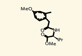 COC(=O)[C@@H](NC(=O)Cc1ccc(OC)cc1C)C(C)C